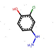 NNc1ccc(O)c(Cl)c1